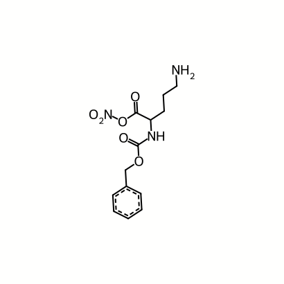 NCCCC(NC(=O)OCc1ccccc1)C(=O)O[N+](=O)[O-]